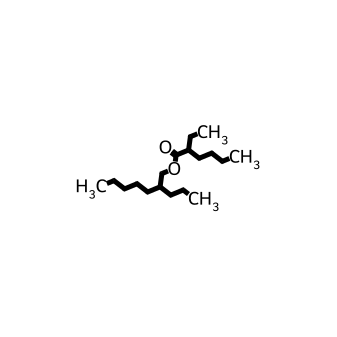 CCCCCC(CCC)COC(=O)C(CC)CCCC